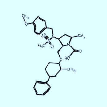 COc1ccc(CN([C@H]2C[C@@H](C)N(C(=O)O)[C@H]2COC2CCC(c3ccccc3)CC2C)S(C)(=O)=O)cc1